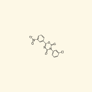 O=c1nc(-c2cccc([N+](=O)[O-])c2)oc(=O)n1-c1cccc(Cl)c1